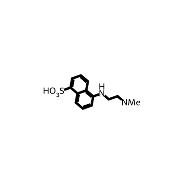 CNCCNc1cccc2c(S(=O)(=O)O)cccc12